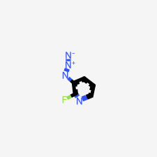 [N-]=[N+]=Nc1cccnc1F